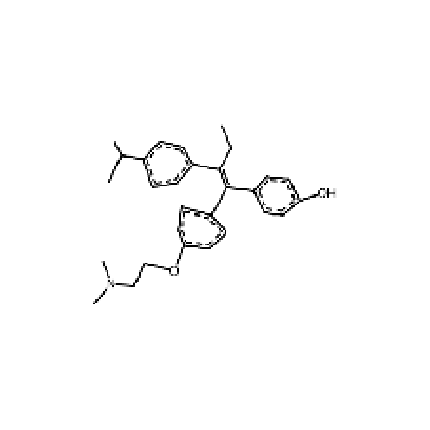 CC/C(=C(\c1ccc(O)cc1)c1ccc(OCCN(C)C)cc1)c1ccc(C(C)C)cc1